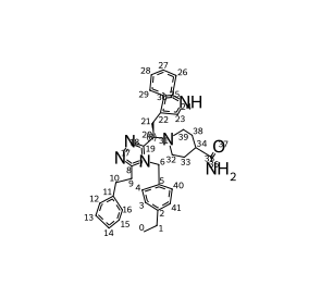 CCc1ccc(Cn2c(CCc3ccccc3)nnc2[C@@H](Cc2c[nH]c3ccccc23)N2CCC(C(N)=O)CC2)cc1